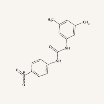 Cc1cc(C)cc(NC(=O)Nc2ccc([SH](=O)=O)cc2)c1